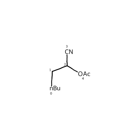 CCCCCC(C#N)OC(C)=O